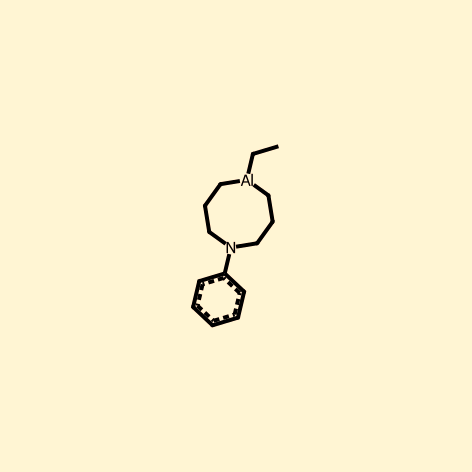 C[CH2][Al]1[CH2]CCN(c2ccccc2)CC[CH2]1